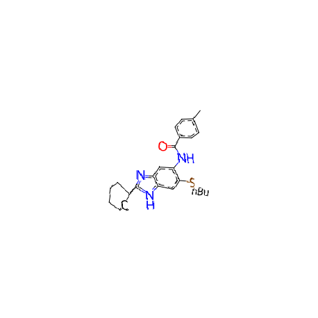 CCCCSc1cc2[nH]c(C3CCCCC3)nc2cc1NC(=O)c1ccc(C)cc1